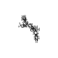 CC(C)Oc1cc(N2CC3CCC(C2)O3)nc(-c2ccc(NC(=O)Nc3ccc(N4CCN(C)CC4)cc3)cc2)n1